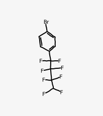 FC(F)C(F)(F)C(F)(F)C(F)(F)c1ccc(Br)cc1